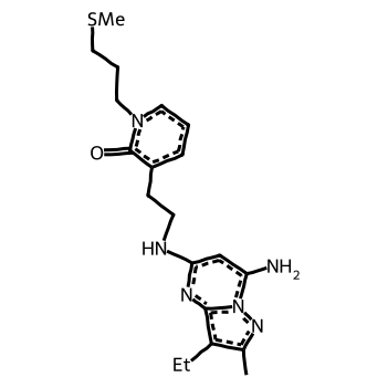 CCc1c(C)nn2c(N)cc(NCCc3cccn(CCCSC)c3=O)nc12